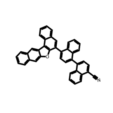 N#Cc1ccc(-c2ccc(-c3cc4ccccc4c4c3oc3cc5ccccc5cc34)c3ccccc23)c2ccccc12